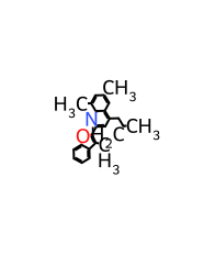 C=C(C)Cc1cc(-c2oc3ccccc3c2C)nc2c(C)cc(C)cc12